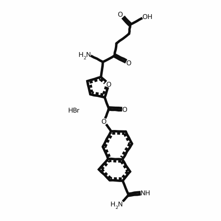 Br.N=C(N)c1ccc2cc(OC(=O)c3ccc(C(N)C(=O)CCC(=O)O)o3)ccc2c1